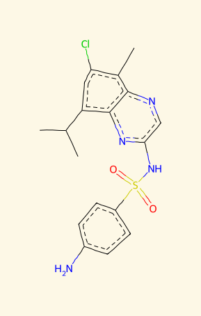 Cc1c(Cl)cc(C(C)C)c2nc(NS(=O)(=O)c3ccc(N)cc3)cnc12